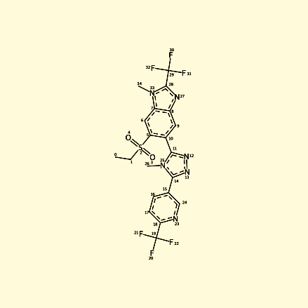 CCS(=O)(=O)c1cc2c(cc1-c1nnc(-c3ccc(C(F)(F)F)nc3)n1C)nc(C(F)(F)F)n2C